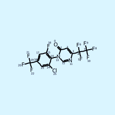 O=c1cc(C(F)(F)C(F)(F)F)ncn1-c1c(F)cc(C(F)(F)F)cc1Cl